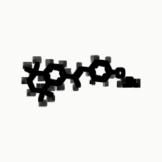 CC(=Cc1ccc(OC(C)(C)C)cc1)c1ccc2c(c1)C(C)(C)CCC2(C)C